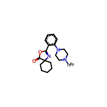 CCCN1CCN(c2ccccc2C2=NC3(CCCCC3)C(=O)O2)CC1